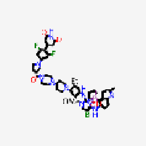 CCc1cc(Nc2ncc(Br)c(Nc3ccc4nc(C)ccc4c3[PH]3(O)CC=CC3)n2)c(OC)cc1N1CCC(N2CCN(C(=O)[C@@H]3CCN(c4cc(F)c(C5CC(=O)NC(=O)C5)c(F)c4)C3)CC2)CC1